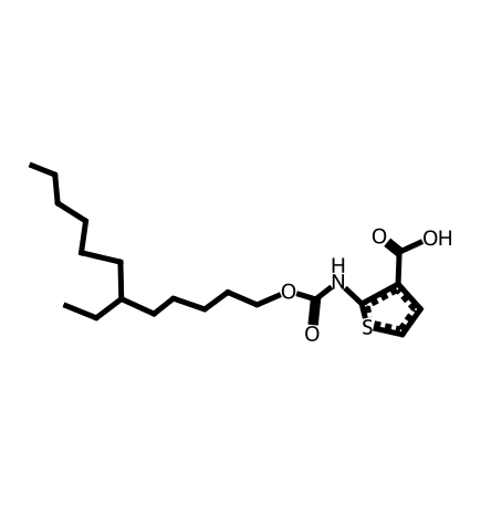 CCCCCCC(CC)CCCCCOC(=O)Nc1sccc1C(=O)O